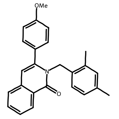 COc1ccc(-c2cc3ccccc3c(=O)n2Cc2ccc(C)cc2C)cc1